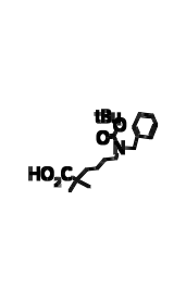 CC(C)(C)OC(=O)N(CCCCC(C)(C)C(=O)O)Cc1ccccc1